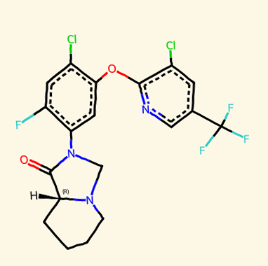 O=C1[C@H]2CCCCN2CN1c1cc(Oc2ncc(C(F)(F)F)cc2Cl)c(Cl)cc1F